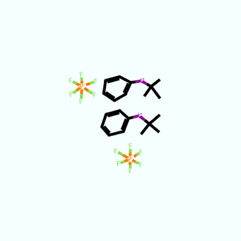 CC(C)(C)[I+]c1ccccc1.CC(C)(C)[I+]c1ccccc1.F[P-](F)(F)(F)(F)F.F[P-](F)(F)(F)(F)F